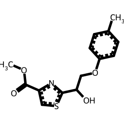 COC(=O)c1csc(C(O)COc2ccc(C)cc2)n1